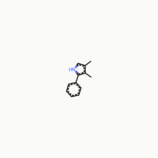 Cc1c[nH]c(-c2ccccc2)c1C